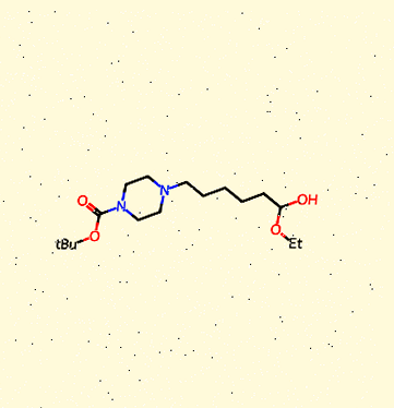 CCOC(O)CCCCCN1CCN(C(=O)OC(C)(C)C)CC1